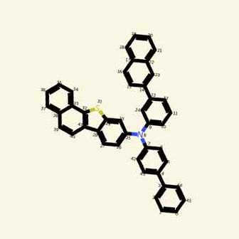 c1ccc(-c2ccc(N(c3cccc(-c4ccc5ccccc5c4)c3)c3ccc4c(c3)sc3c5ccccc5ccc43)cc2)cc1